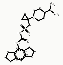 CN(C)C1CCN(C2(CS(=O)(=O)NC(=O)Nc3c4c(cc5c3CCC5)CCC4)CC2)CC1